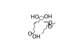 CCCCCC1(/C=C/[C@@H]2[C@@H](C/C=C\CCCC(=O)O)[C@@H](O)C[C@H]2O)OCC(C)O1